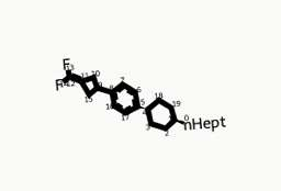 CCCCCCC[C@H]1CC[C@H](c2ccc(C3CC(=C(F)F)C3)cc2)CC1